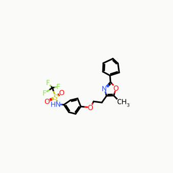 Cc1oc(-c2ccccc2)nc1CCOc1ccc(NS(=O)(=O)C(F)(F)F)cc1